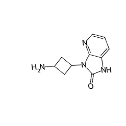 NC1CC(n2c(=O)[nH]c3cccnc32)C1